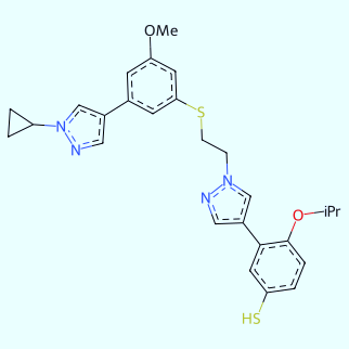 COc1cc(SCCn2cc(-c3cc(S)ccc3OC(C)C)cn2)cc(-c2cnn(C3CC3)c2)c1